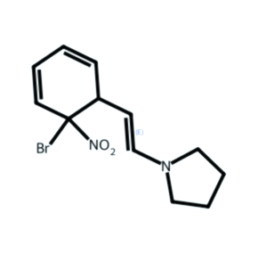 O=[N+]([O-])C1(Br)C=CC=CC1/C=C/N1CCCC1